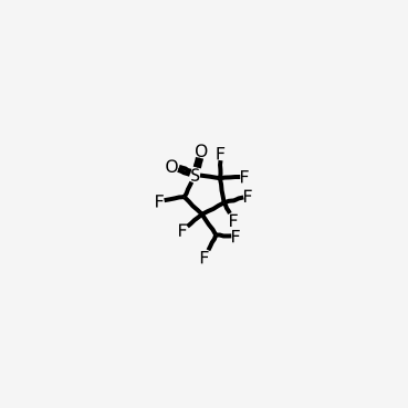 O=S1(=O)C(F)C(F)(C(F)F)C(F)(F)C1(F)F